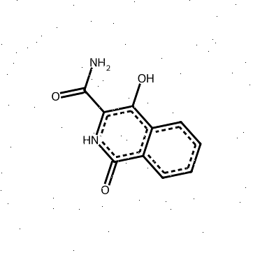 NC(=O)c1[nH]c(=O)c2ccccc2c1O